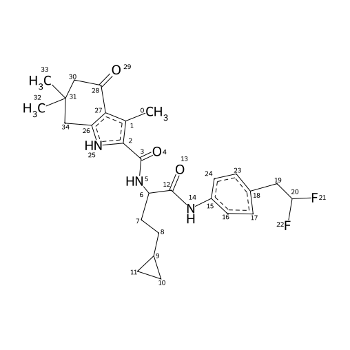 Cc1c(C(=O)NC(CCC2CC2)C(=O)Nc2ccc(CC(F)F)cc2)[nH]c2c1C(=O)CC(C)(C)C2